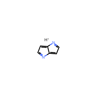 C1=NC2=CC=NC2=C1.[H+]